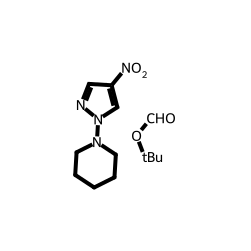 CC(C)(C)OC=O.O=[N+]([O-])c1cnn(N2CCCCC2)c1